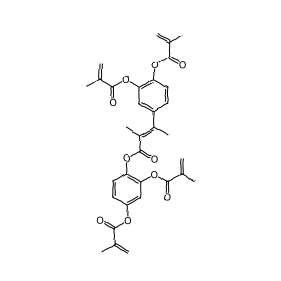 C=C(C)C(=O)Oc1ccc(OC(=O)/C(C)=C(\C)c2ccc(OC(=O)C(=C)C)c(OC(=O)C(=C)C)c2)c(OC(=O)C(=C)C)c1